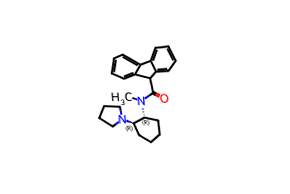 CN(C(=O)C1c2ccccc2-c2ccccc21)[C@@H]1CCCC[C@H]1N1CCCC1